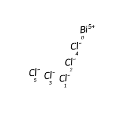 [Bi+5].[Cl-].[Cl-].[Cl-].[Cl-].[Cl-]